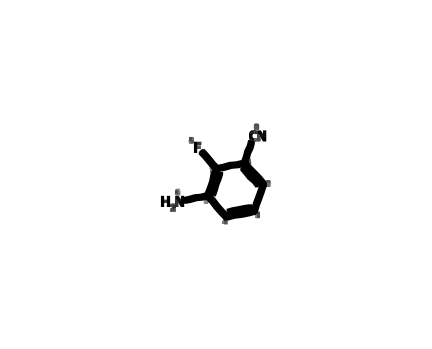 N#Cc1cc[c]c(N)c1F